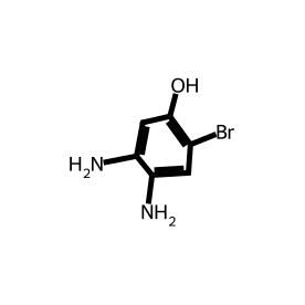 Nc1cc(O)c(Br)cc1N